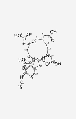 O=C(O)CC1CC[C@H](CC(=O)O)CCN(CC(=O)O)NN(Cc2ccc(N=C=S)cc2)N(CC(=O)O)CC1